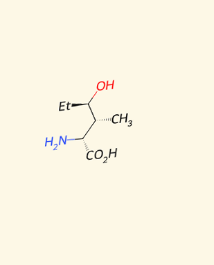 CC[C@@H](O)[C@H](C)[C@@H](N)C(=O)O